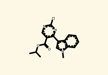 CC(C)OC(=O)c1cnc(Cl)nc1-c1cn(C)c2ccccc12